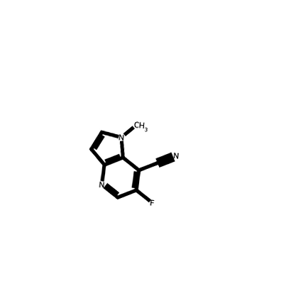 Cn1ccc2ncc(F)c(C#N)c21